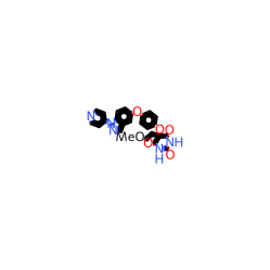 COCCC1(Oc2ccc(Oc3ccc4c(cnn4-c4ccncc4)c3)cc2)C(=O)NC(=O)NC1=O